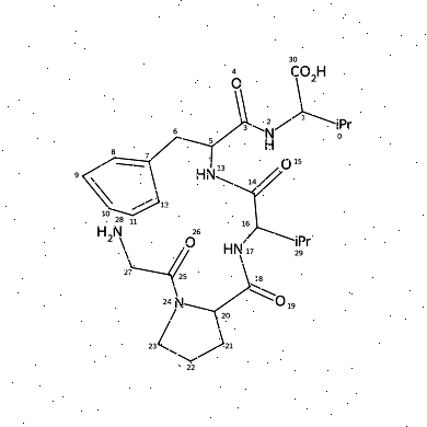 CC(C)C(NC(=O)C(Cc1ccccc1)NC(=O)C(NC(=O)C1CCCN1C(=O)CN)C(C)C)C(=O)O